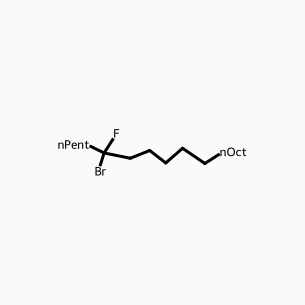 CCCCCCCCCCCCCC(F)(Br)CCCCC